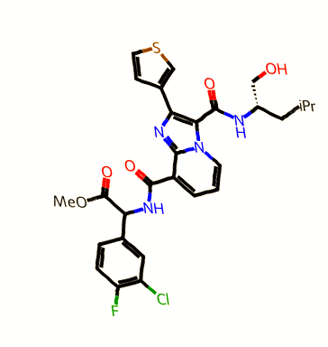 COC(=O)C(NC(=O)c1cccn2c(C(=O)N[C@H](CO)CC(C)C)c(-c3ccsc3)nc12)c1ccc(F)c(Cl)c1